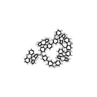 c1ccc2c(c1)Oc1ccccc1C21c2ccccc2-c2cc(N(c3ccc(-c4ccc5oc6ccccc6c5c4)cc3)c3ccc4c(c3)-c3ccc(-c5ccc6c(c5)Sc5ccccc5C65c6ccccc6-c6cc(N(c7cccc8c7-c7ccccc7C87c8ccccc8Oc8ccccc87)c7cccc8oc9ccccc9c78)ccc65)cc3C43c4ccccc4Sc4ccccc43)ccc21